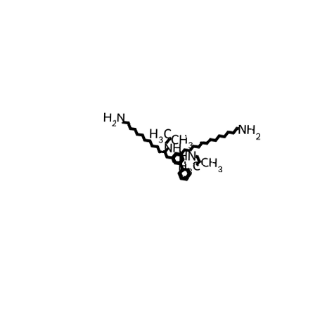 CC(C)CNC(CCCCCCCCCCCN)Cc1cc(CC(CCCCCCCCCCCN)NCC(C)C)cc(-c2ccccc2)c1